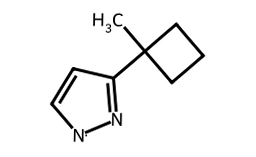 CC1(C2=N[N]C=C2)CCC1